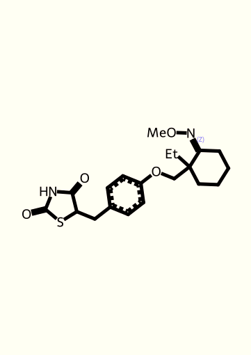 CCC1(COc2ccc(CC3SC(=O)NC3=O)cc2)CCCC/C1=N/OC